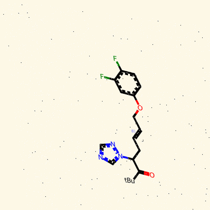 CC(C)(C)C(=O)C(C/C=C/COc1ccc(F)c(F)c1)n1cncn1